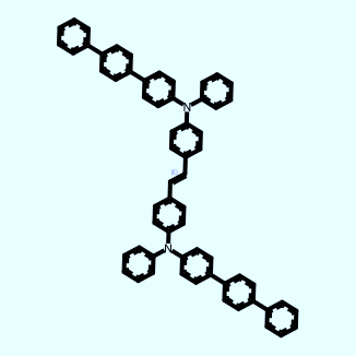 C(=C\c1ccc(N(c2ccccc2)c2ccc(-c3ccc(-c4ccccc4)cc3)cc2)cc1)/c1ccc(N(c2ccccc2)c2ccc(-c3ccc(-c4ccccc4)cc3)cc2)cc1